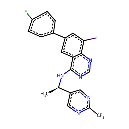 C[C@@H](Nc1ncnc2c(I)cc(-c3ccc(F)cc3)cc12)c1cnc(C(F)(F)F)nc1